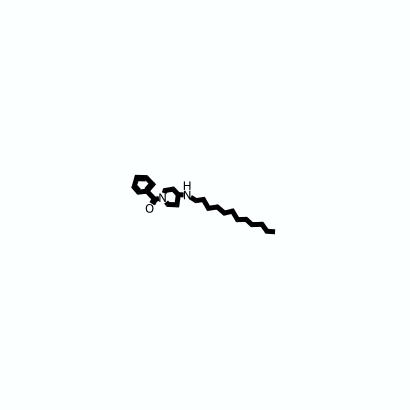 CCCCCCCCCCCCNC1CCN(C(=O)c2ccccc2)CC1